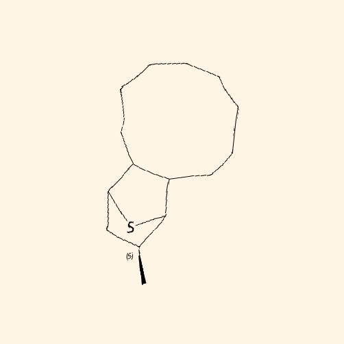 C[C@H]1CC2SC1C1CCCCCCCCC21